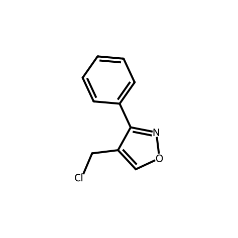 ClCc1conc1-c1ccccc1